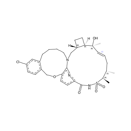 C[C@@H]1[C@@H](C)C/C=C/[C@](C)(O)[C@@H]2CC[C@H]2CN2CCCCc3cc(Cl)ccc3COc3ccc(nc32)C(=O)NS1(=O)=O